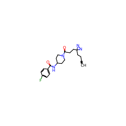 C#CCCC1(CCC(=O)N2CCC(NC(=O)c3ccc(F)cc3)CC2)N=N1